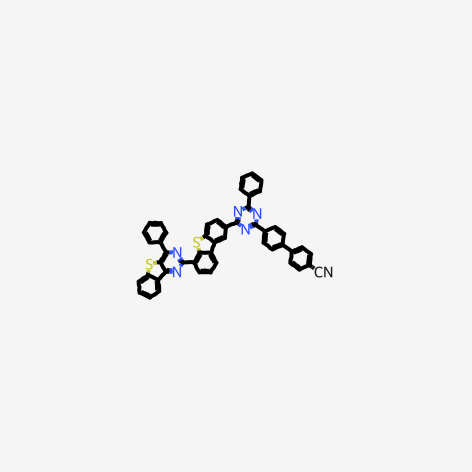 N#Cc1ccc(-c2ccc(-c3nc(-c4ccccc4)nc(-c4ccc5sc6c(-c7nc(-c8ccccc8)c8sc9ccccc9c8n7)cccc6c5c4)n3)cc2)cc1